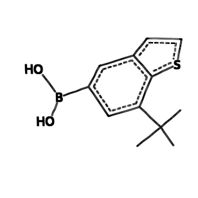 CC(C)(C)c1cc(B(O)O)cc2ccsc12